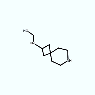 OCNC1CC2(CCNCC2)C1